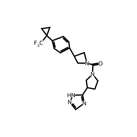 O=C(N1CC(c2ccc(C3(C(F)(F)F)CC3)cc2)C1)N1CCC(c2ncn[nH]2)C1